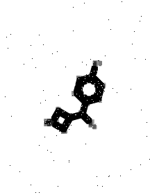 Fc1ccc(C(F)C2CNC2)cc1